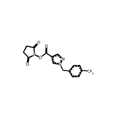 O=C(ON1C(=O)CCC1=O)c1cnn(Cc2ccc(C(F)(F)F)cc2)c1